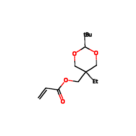 [CH2]C(C)(C)C1OCC(CC)(COC(=O)C=C)CO1